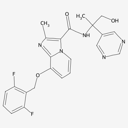 Cc1nc2c(OCc3c(F)cccc3F)cccn2c1C(=O)NC(C)(CO)c1cncnc1